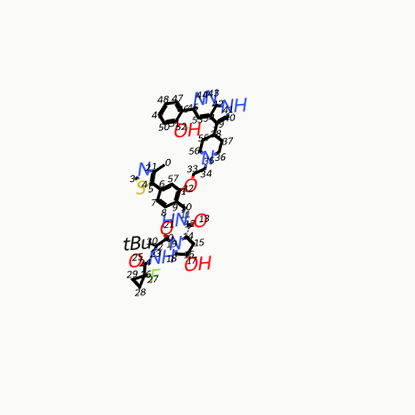 Cc1ncsc1-c1ccc(CNC(=O)[C@@H]2C[C@@H](O)CN2C(=O)[C@@H](NC(=O)C2(F)CC2)C(C)(C)C)c(OCCN2CCC(c3c[nH]c4nnc(-c5ccccc5O)cc34)CC2)c1